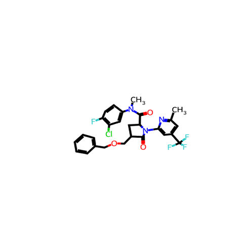 Cc1cc(C(F)(F)F)cc(N2C(=O)C(COCc3ccccc3)CC2C(=O)N(C)c2ccc(F)c(Cl)c2)n1